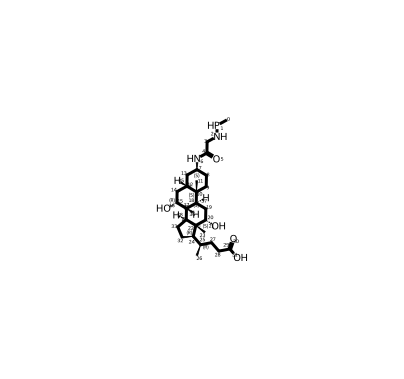 CPNCC(=O)N[C@H]1CC[C@@]2(C)[C@@H](C1)C[C@@H](O)[C@@H]1[C@@H]2C[C@H](O)[C@]2(C)[C@@H]([C@H](C)CCC(=O)O)CC[C@@H]12